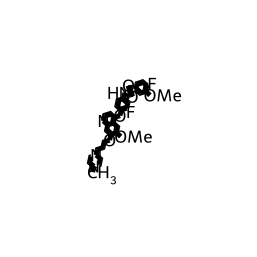 COc1cc(S(=O)(=O)Nc2ccc(Oc3ccnc4cc(OCCCN5CCN(C)CC5)c(OC)cc34)c(F)c2)ccc1F